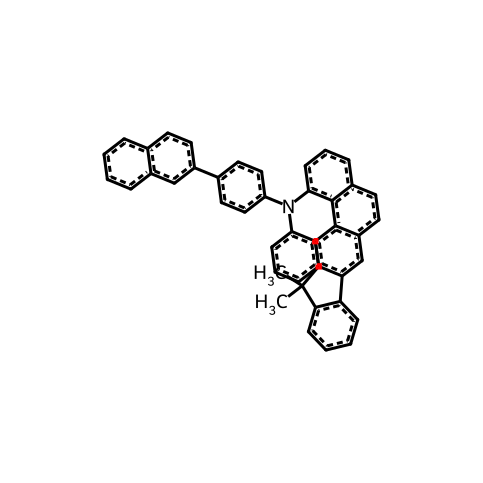 CC1(C)c2ccccc2-c2cc3ccc4cccc(N(c5ccccc5)c5ccc(-c6ccc7ccccc7c6)cc5)c4c3cc21